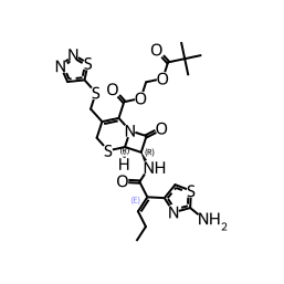 CC/C=C(/C(=O)N[C@@H]1C(=O)N2C(C(=O)OCOC(=O)C(C)(C)C)=C(CSc3cnns3)CS[C@H]12)c1csc(N)n1